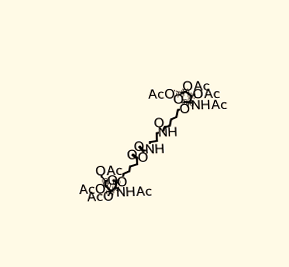 CC(=O)N[C@H]1[C@H](OCCCCC(=O)NCCCNC(=O)OC(=O)CCCCO[C@@H]2O[C@H](COC(C)=O)[C@H](OC(C)=O)[C@H](OC(C)=O)[C@H]2NC(C)=O)O[C@H](COC(C)=O)[C@H](OC(C)=O)[C@@H]1OC(C)=O